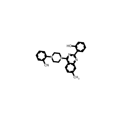 Cc1ccc2c(N3CCN(c4ccccc4C#N)CC3)nc(-c3ccccc3O)nc2c1